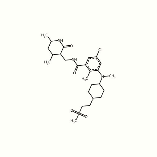 Cc1c(C(=O)NCC2C(=O)NC(C)CC2C)cc(Cl)cc1N(C)C1CCN(CCS(C)(=O)=O)CC1